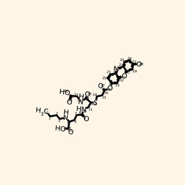 CCCCNC(CCC(=O)NCC(SCCC(=O)Oc1ccc2nc3ccc(=O)cc-3oc2c1)C(=O)NCC(=O)O)C(=O)O